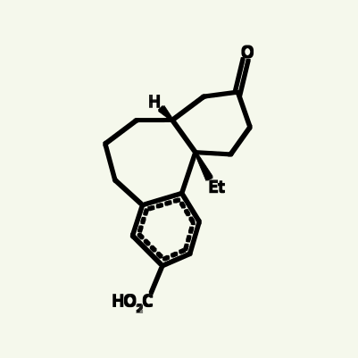 CC[C@]12CCC(=O)C[C@H]1CCCc1cc(C(=O)O)ccc12